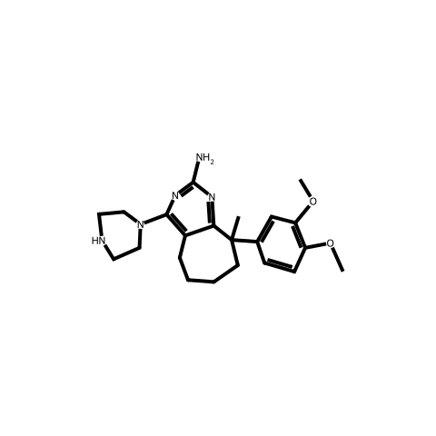 COc1ccc(C2(C)CCCCc3c(N4CCNCC4)nc(N)nc32)cc1OC